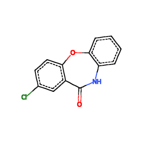 O=C1Nc2ccccc2Oc2ccc(Cl)cc21